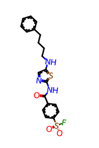 O=C(Nc1ncc(NCCCCc2ccccc2)s1)c1ccc(S(=O)(=O)F)cc1